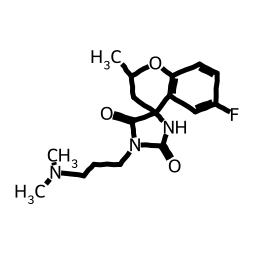 CC1CC2(NC(=O)N(CCCN(C)C)C2=O)c2cc(F)ccc2O1